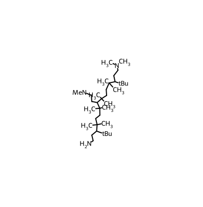 CNCCC(C(C)(C)CCC(C)(C)C(CCN)C(C)(C)C)C(C)(C)CCC(C)(C)C(CCN(C)C)C(C)(C)C